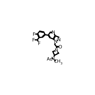 CC(=O)N(C)C1CN(C(=O)Cn2ncc3ncc(-c4ccc(F)c(C(F)F)c4)cc32)C1